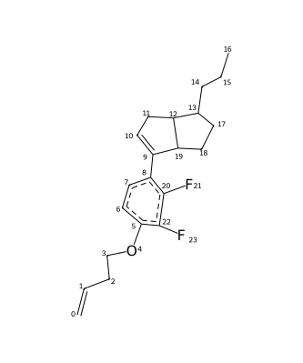 C=CCCOc1ccc(C2=CCC3C(CCC)CCC23)c(F)c1F